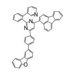 c1cncc(-c2ccccc2-c2nc(-c3ccc(-c4ccc5oc6ccccc6c5c4)cc3)cc(-c3ccc4c5c(cccc35)-c3ccccc3-4)n2)c1